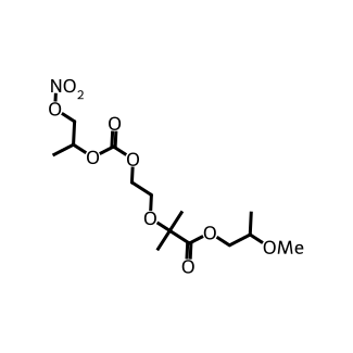 COC(C)COC(=O)C(C)(C)OCCOC(=O)OC(C)CO[N+](=O)[O-]